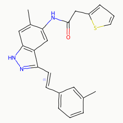 Cc1cccc(/C=C/c2n[nH]c3cc(C)c(NC(=O)Cc4cccs4)cc23)c1